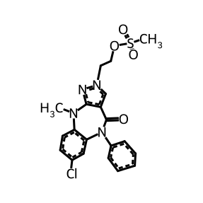 CN1c2ccc(Cl)cc2N(c2ccccc2)C(=O)c2cn(CCOS(C)(=O)=O)nc21